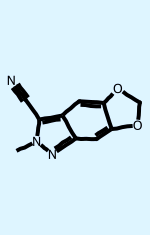 Cn1nc2cc3c(cc2c1C#N)OCO3